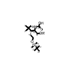 CC(C)(C)[C@@H](CCO[Si](C)(C)C(C)(C)C)C(CO)NC(=O)O